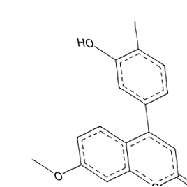 COc1ccc2c(-c3ccc(C)c(O)c3)cc(=O)oc2c1